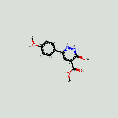 COC(=O)c1cc(-c2ccc(OC)cc2)n[nH]c1=O